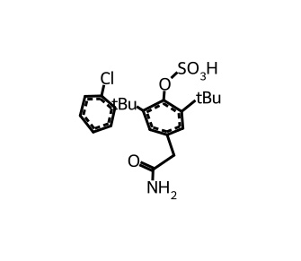 CC(C)(C)c1cc(CC(N)=O)cc(C(C)(C)C)c1OS(=O)(=O)O.Clc1ccccc1